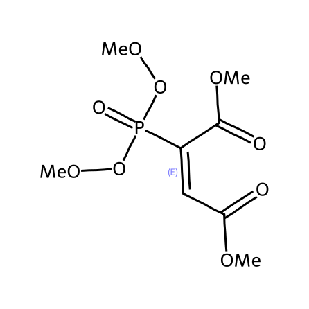 COOP(=O)(OOC)/C(=C/C(=O)OC)C(=O)OC